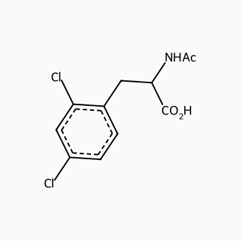 CC(=O)NC(Cc1ccc(Cl)cc1Cl)C(=O)O